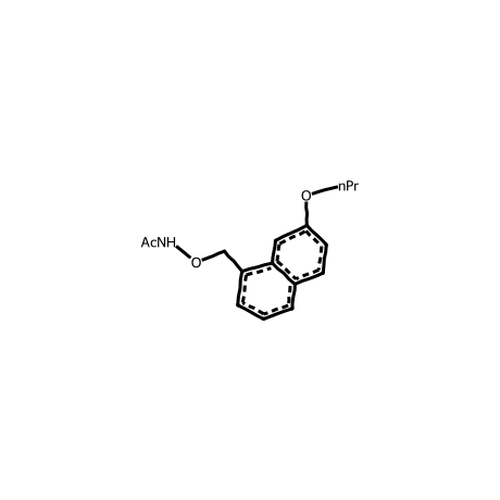 CCCOc1ccc2cccc(CONC(C)=O)c2c1